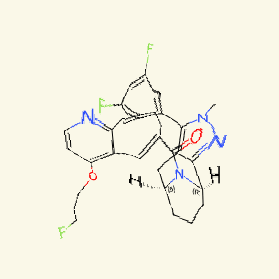 Cn1nc2c(c1-c1cc(F)cc(F)c1)C[C@@H]1CCC[C@H]2N1C(=O)c1ccc2nccc(OCCF)c2c1